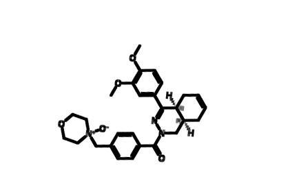 COc1ccc(C2=NN(C(=O)c3ccc(C[N+]4([O-])CCOCC4)cc3)C[C@@H]3CC=CC[C@H]23)cc1OC